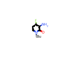 CC(C)(C)n1ccc(F)c(N)c1=O